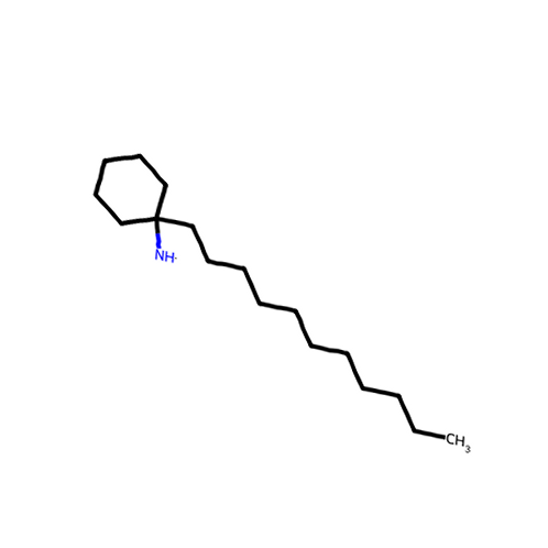 CCCCCCCCCCCC1([NH])CCCCC1